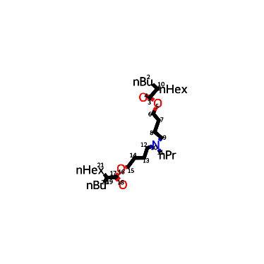 CCCCCCC(CCCC)C(=O)OCCCCN(CCC)CCCCOC(=O)C(CCCC)CCCCCC